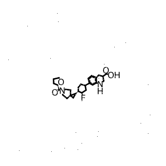 O=C(O)C1CNc2cc(C3CCC([C@@H]4CC45CCN(C(=O)[C@H]4CCCO4)CC5)[C@H](F)C3)ccc2C1